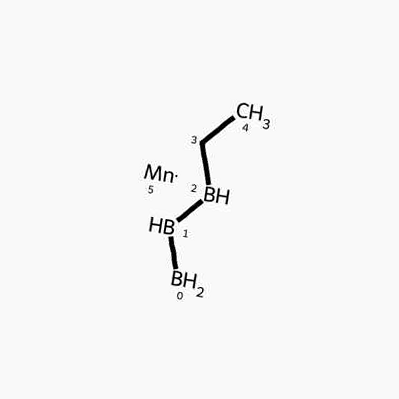 BBBCC.[Mn]